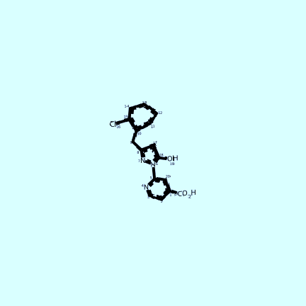 O=C(O)c1ccnc(-n2nc(Cc3ccccc3Cl)cc2O)c1